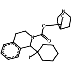 O=C(OC1CN2CCC1CC2)N1CCc2ccccc2C1C1(I)CCCCC1